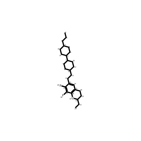 CCCC1CCC(C2CCC(CCc3cc4c(c(F)c3F)OC(CC)CC4)CC2)CC1